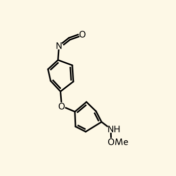 CONc1ccc(Oc2ccc(N=C=O)cc2)cc1